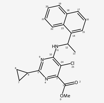 COC(=O)c1nc(C2CC2)nc(NC(C)c2cccc3ccccc23)c1Cl